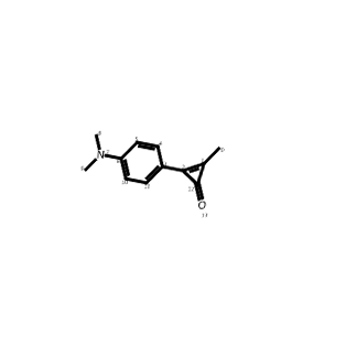 Cc1c(-c2ccc(N(C)C)cc2)c1=O